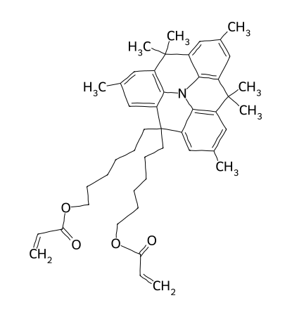 C=CC(=O)OCCCCCCC1(CCCCCCOC(=O)C=C)c2cc(C)cc3c2N2c4c(cc(C)cc4C(C)(C)c4cc(C)cc1c42)C3(C)C